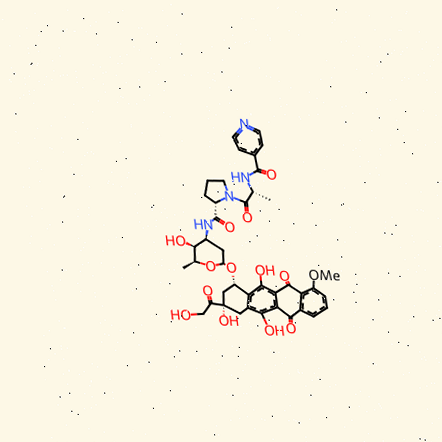 COc1cccc2c1C(=O)c1c(O)c3c(c(O)c1C2=O)C[C@@](O)(C(=O)CO)C[C@@H]3O[C@H]1C[C@H](NC(=O)[C@@H]2CCCN2C(=O)[C@@H](C)NC(=O)c2ccncc2)[C@H](O)[C@H](C)O1